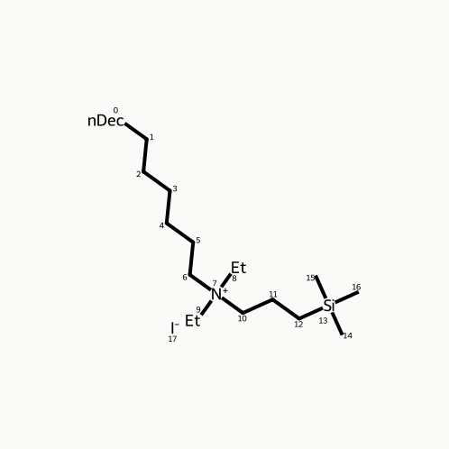 CCCCCCCCCCCCCCCC[N+](CC)(CC)CCC[Si](C)(C)C.[I-]